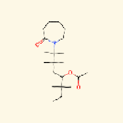 CCC(C)(C)C(CC(C)(C)C(C)(C)N1CCCCCC1=O)OC(C)=O